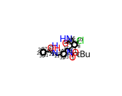 CC(C)(C)OC(=O)n1c(-c2ccc(Cl)c3c2C(=O)NC3)cc2cc(CNCC(O)c3ccccc3)ccc21